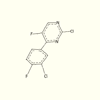 Fc1ccc(-c2nc(Cl)ncc2F)cc1Cl